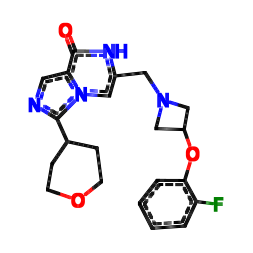 O=c1[nH]c(CN2CC(Oc3ccccc3F)C2)cn2c(C3CCOCC3)ncc12